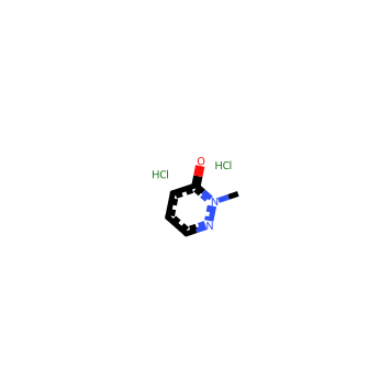 Cl.Cl.Cn1ncccc1=O